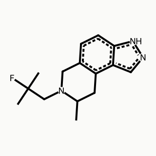 CC1Cc2c(ccc3[nH]ncc23)CN1CC(C)(C)F